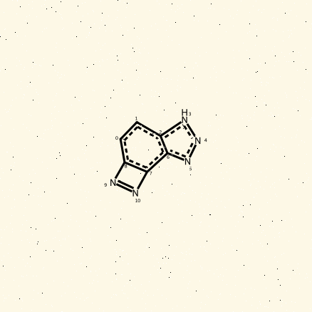 [c]1cc2[nH]nnc2c2c1N=N2